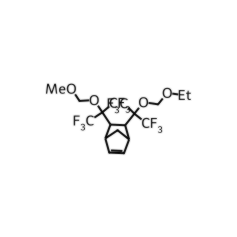 CCOCOC(C1C2C=CC(C2)C1C(OCOC)(C(F)(F)F)C(F)(F)F)(C(F)(F)F)C(F)(F)F